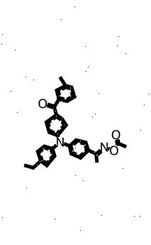 CCc1ccc(N(c2ccc(C(=O)c3cccc(C)c3)cc2)c2ccc(C(C)=NOC(C)=O)cc2)cc1